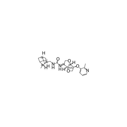 Cc1ncccc1O[C@H]1CO[C@H]2[C@@H]1OC[C@@H]2NC(=O)NC[C@@H]1C[C@@H]2CC([C@H]1C)C2(C)C